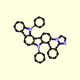 c1ccc(-n2c3ccccc3c3ccc4c(c5ccc6c(c7ccccc7c7nccn67)c5n4-c4ccccc4)c32)cc1